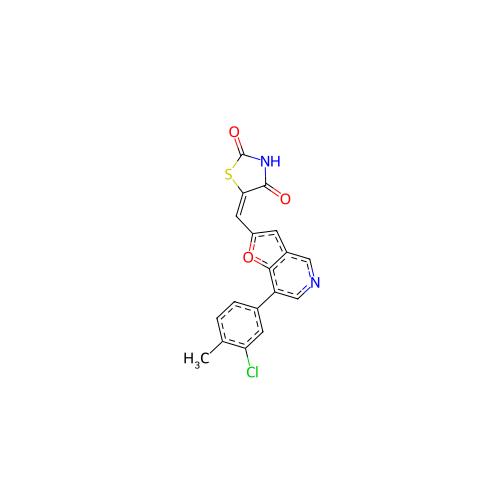 Cc1ccc(-c2cncc3cc(C=C4SC(=O)NC4=O)oc23)cc1Cl